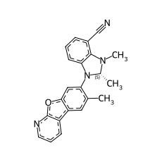 Cc1cc2c(cc1N1c3cccc(C#N)c3N(C)[C@@H]1C)oc1ncccc12